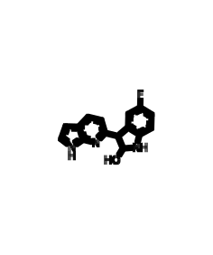 OC1Nc2ccc(F)cc2C1c1ccc2cc[nH]c2n1